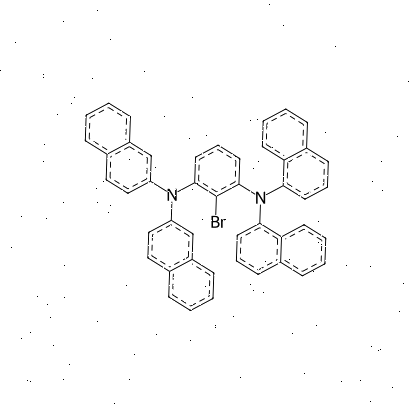 Brc1c(N(c2ccc3ccccc3c2)c2ccc3ccccc3c2)cccc1N(c1cccc2ccccc12)c1cccc2ccccc12